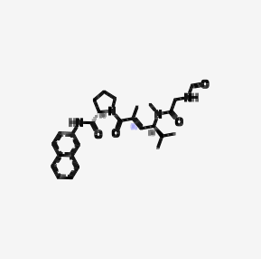 C/C(=C\[C@H](C(C)C)N(C)C(=O)CNC=O)C(=O)N1CCC[C@H]1C(=O)Nc1ccc2ccccc2c1